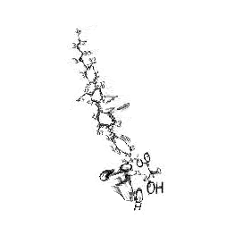 C=C(CO)C(=O)OCC(COC(=O)C(C)(C)CO)C1CCC(c2ccc(-c3ccc(C4CCC(CCCCC)CC4)c(CC)c3)cc2C)CC1